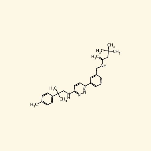 C=C(CC(C)(C)C)NCc1cccc(-c2ccc(NCC(C)(C)c3ccc(C)cc3)nn2)c1